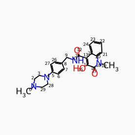 CN1CCN(c2ccc(CNC(=O)c3c(O)c(=O)n(C)c4ccccc34)cc2)CC1